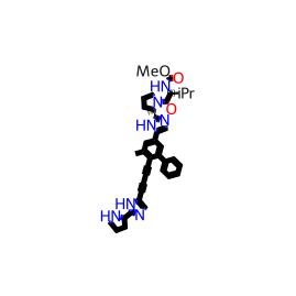 COC(=O)N[C@H](C(=O)N1CCC[C@H]1c1ncc(-c2cc(C)c(C#CC#Cc3cnc(C4CCCN4)[nH]3)c(-c3ccccc3)c2)[nH]1)C(C)C